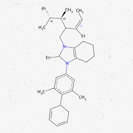 C/C=C(/CC)C(CN1C2=C(CCCC2)N(c2cc(C)c(C3C=CC=CC3)c(C)c2)C1CC)[C@H](C)[C@H](C)C(C)C